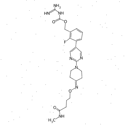 CNC(=O)CCCON=C1CCN(c2ncc(-c3cccc(COC(=O)NC(=N)N)c3F)cn2)CC1